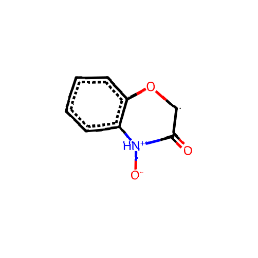 O=C1[CH]Oc2ccccc2[NH+]1[O-]